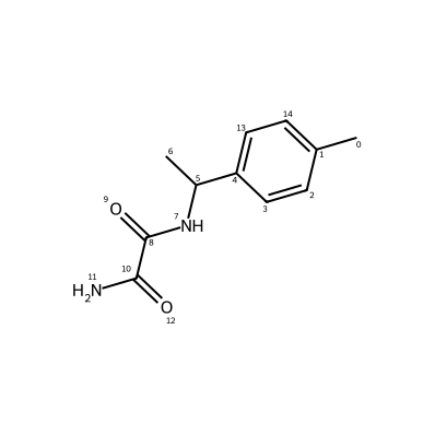 Cc1ccc(C(C)NC(=O)C(N)=O)cc1